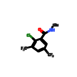 CC(C)(C)NC(=O)c1cc(C(F)(F)F)cc(C(F)(F)F)c1Cl